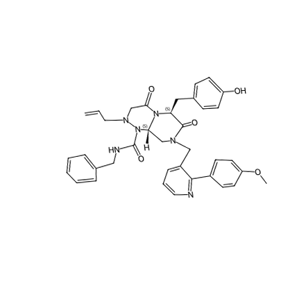 C=CCN1CC(=O)N2[C@@H](Cc3ccc(O)cc3)C(=O)N(Cc3cccnc3-c3ccc(OC)cc3)C[C@@H]2N1C(=O)NCc1ccccc1